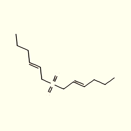 CCCC=CCS(=O)(=O)CC=CCCC